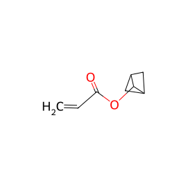 C=CC(=O)OC1C2CC1C2